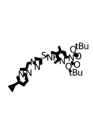 Cc1cc(N(C(=O)OC(C)(C)C)C(=O)OC(C)(C)C)nc(C)c1CNSc1cnn(Cc2cn3cc(C4CC4)ccc3n2)c1